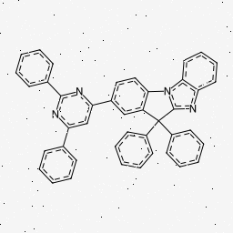 c1ccc(-c2cc(-c3ccc4c(c3)C(c3ccccc3)(c3ccccc3)c3nc5ccccc5n3-4)nc(-c3ccccc3)n2)cc1